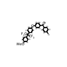 COc1ccc(C(c2ccc(Oc3ccc(C(=O)c4ccc(C)cc4)cc3)cc2)(C(F)(F)F)C(F)(F)F)cc1